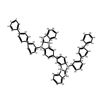 c1ccc(-c2ccc(-c3cccc(-n4c5ccc(-c6ccc7c(c6)n6c8ccccc8nc6n7-c6cccc(-c7ccc(-c8ccccc8)cc7)c6)cc5n5c6ccccc6nc45)c3)cc2)cc1